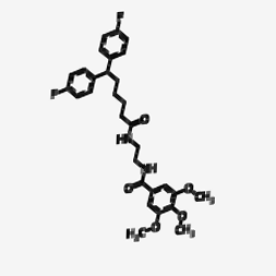 COc1cc(C(=O)NCCNC(=O)CCCCC(c2ccc(F)cc2)c2ccc(F)cc2)cc(OC)c1OC